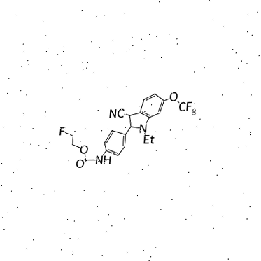 CCN1c2cc(OC(F)(F)F)ccc2C(C#N)C1c1ccc(NC(=O)OCCF)cc1